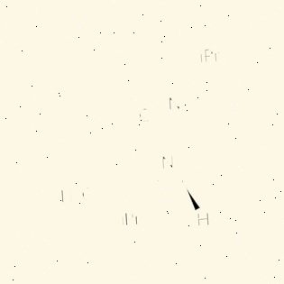 CC(C)N1C[C@@H]2CCC1C[N+]2(C)C(C)C